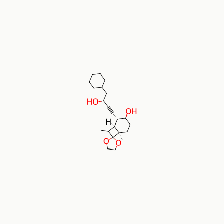 CC1[C@H]2[C@H](C#C[C@@H](O)CC3CCCCC3)[C@@H](O)CC[C@@]2(C)C12OCCO2